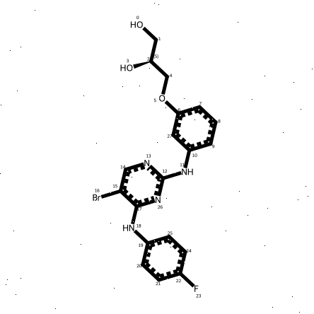 OC[C@H](O)COc1cccc(Nc2ncc(Br)c(Nc3ccc(F)cc3)n2)c1